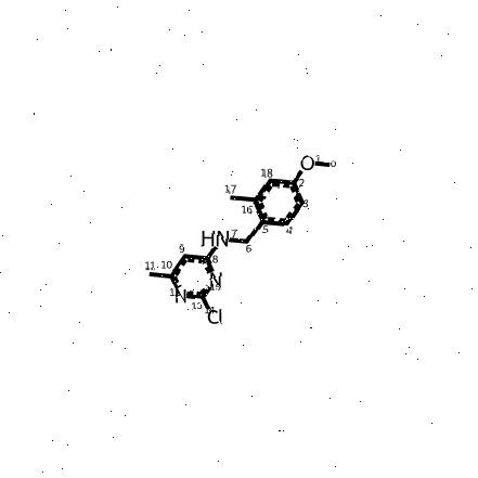 COc1ccc(CNc2cc(C)nc(Cl)n2)c(C)c1